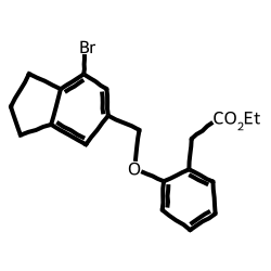 CCOC(=O)Cc1ccccc1OCc1cc(Br)c2c(c1)CCC2